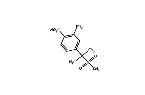 CC(C)(c1ccc(C(=O)O)c(N)c1)S(C)(=O)=O